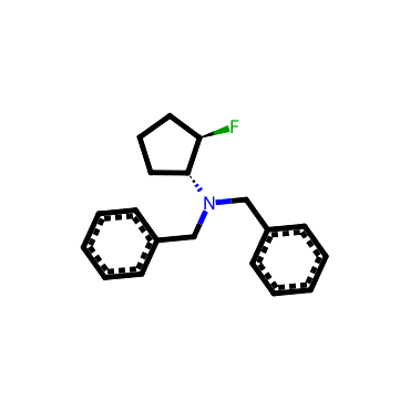 F[C@@H]1CCC[C@H]1N(Cc1ccccc1)Cc1ccccc1